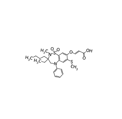 CCCCC1(CC)CN(c2ccccc2)c2cc(SC)c(O/C=C/C(=O)O)cc2S(=O)(=O)N1C